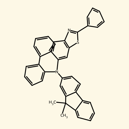 CC1(C)c2ccccc2-c2ccc(N(c3ccc4nc(-c5ccccc5)sc4c3)c3ccccc3-c3ccccc3)cc21